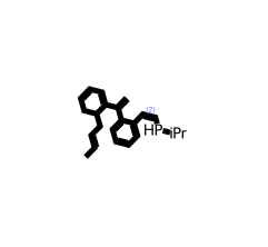 C=C(C1=CC=CCC1CC=CC)c1ccccc1/C=C\PC(C)C